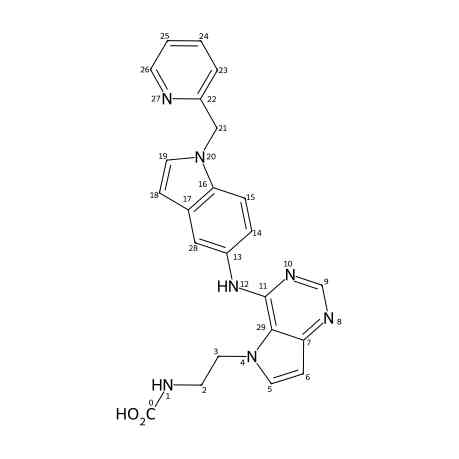 O=C(O)NCCn1ccc2ncnc(Nc3ccc4c(ccn4Cc4ccccn4)c3)c21